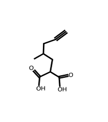 C#CCC(C)CC(C(=O)O)C(=O)O